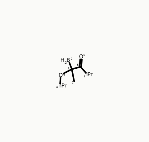 BC(C)(OCCC)C(=O)C(C)C